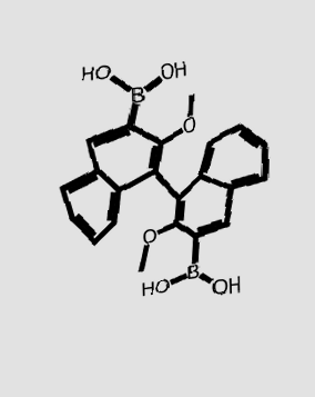 COc1c(B(O)O)cc2ccccc2c1-c1c(OC)c(B(O)O)cc2ccccc12